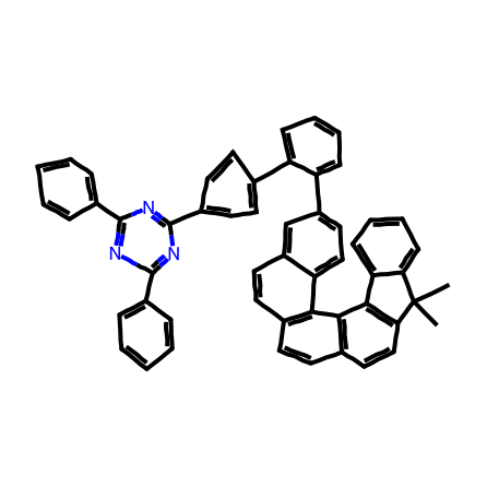 CC1(C)c2ccccc2-c2c1ccc1ccc3ccc4cc(-c5ccccc5-c5ccc(-c6nc(-c7ccccc7)nc(-c7ccccc7)n6)cc5)ccc4c3c21